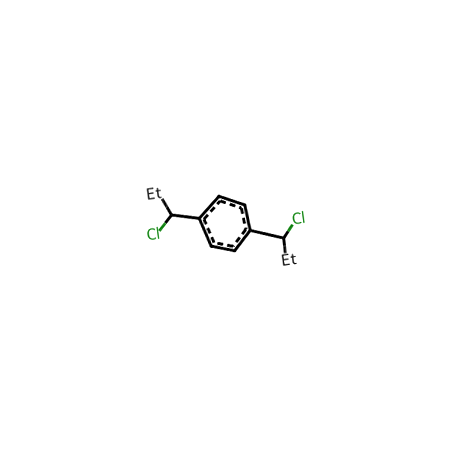 CCC(Cl)c1ccc(C(Cl)CC)cc1